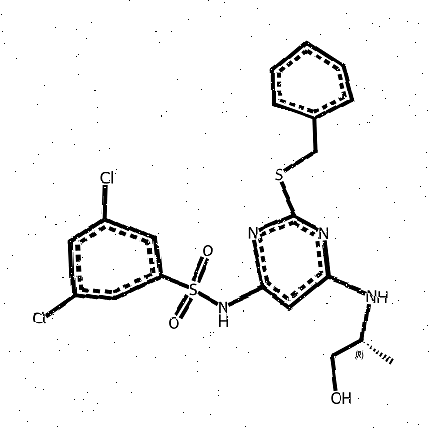 C[C@H](CO)Nc1cc(NS(=O)(=O)c2cc(Cl)cc(Cl)c2)nc(SCc2ccccc2)n1